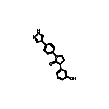 O=C1C(c2cccc(O)c2)CCN1c1ccc(-c2cn[nH]c2)cc1